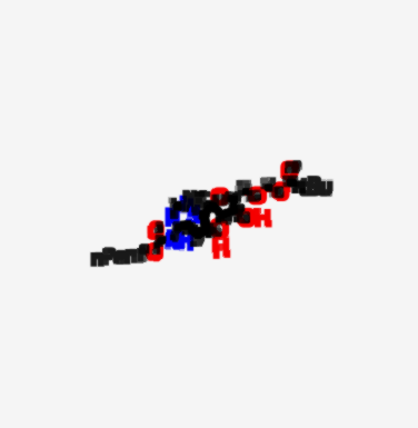 CCCCCOC(=O)Nc1ncnn2c([C@]3(C#N)O[C@H](COCOC(=O)C(C)(C)C)[C@@H](O)[C@H]3O)ccc12